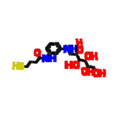 O=C(CCCS)Nc1cccc(NCC(O)[C@H](O)[C@H](O)C(O)CO)c1